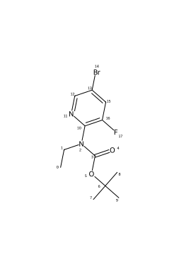 CCN(C(=O)OC(C)(C)C)c1ncc(Br)cc1F